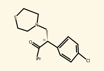 CC(C)C(=O)[C@H](CN1CCSCC1)c1ccc(Cl)cc1